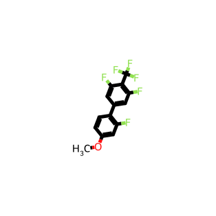 COc1ccc(-c2cc(F)c(C(F)(F)F)c(F)c2)c(F)c1